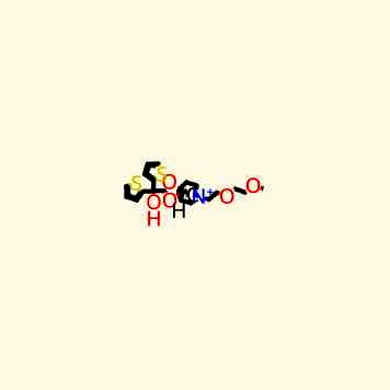 COCCOCC[N+]12CCC(CC1)[C@@H](OC(=O)C(O)(c1cccs1)c1cccs1)C2